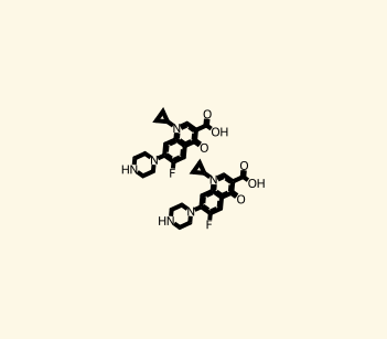 O=C(O)c1cn(C2CC2)c2cc(N3CCNCC3)c(F)cc2c1=O.O=C(O)c1cn(C2CC2)c2cc(N3CCNCC3)c(F)cc2c1=O